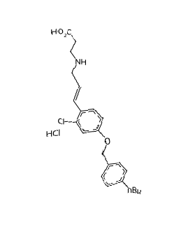 CCCCc1ccc(COc2ccc(C=CCNCCC(=O)O)c(Cl)c2)cc1.Cl